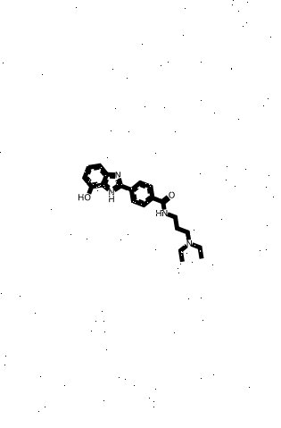 CCN(CC)CCCNC(=O)c1ccc(-c2nc3cccc(O)c3[nH]2)cc1